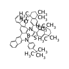 Cc1cc2c(cc1N1c3c(sc4cc5c(cc34)C(C)(C)CCC5(C)C)B3c4c(cc5c(oc6ccccc65)c41)-c1cc4ccccc4cc1N3c1ccc(C(C)(C)C)cc1)C(C)(C)CCC2(C)C